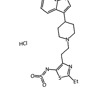 CCc1nc(CCN2CCC(c3c[nH]c4ccccc34)CC2)c(N=S(=O)=O)s1.Cl